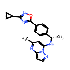 Cc1cc(N[C@@H](C)c2ccc(-c3nc(C4CC4)no3)cc2)n2nccc2n1